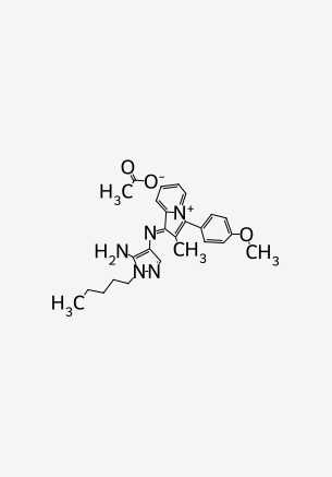 CC(=O)[O-].CCCCCn1ncc(/N=C2\C(C)=C(c3ccc(OC)cc3)[n+]3ccccc32)c1N